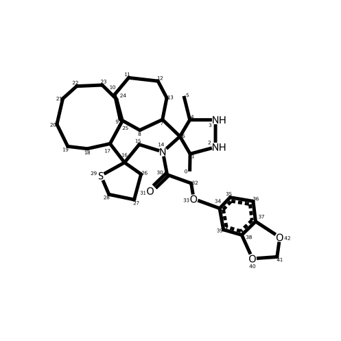 CC1NNC(C)C1(C1CCCCCC1)N(CC1(C2CCCCCCCC2)CCCS1)C(=O)COc1ccc2c(c1)OCO2